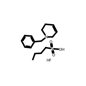 C1=CCN(Cc2ccccc2)CC1.CCCCS(=O)(=O)O.F